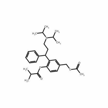 CC(=O)OCc1ccc(OC(=O)C(C)C)c(C(CCN(C(C)C)C(C)C)c2ccccc2)c1